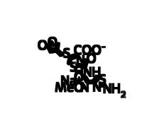 CO/N=C(\C(=O)N[C@@H]1C(=O)N2C(C(=O)[O-])=C(SCC3=CC(=O)OC3)CS[C@@H]12)c1csc(N)n1.[Na+]